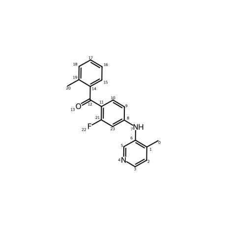 Cc1ccncc1Nc1ccc(C(=O)c2ccccc2C)c(F)c1